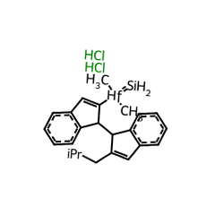 CC(C)CC1=Cc2ccccc2C1C1[C]([Hf]([CH3])([CH3])=[SiH2])=Cc2ccccc21.Cl.Cl